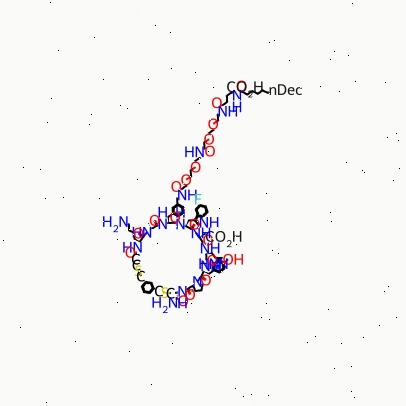 CCCCCCCCCCCCCCCC(=O)N[C@@H](CCC(=O)NCCOCCOCC(=O)NCCOCCOCC(=O)NCc1cccc(C[C@@H]2NC(=O)[C@@H](C)NC(=O)[C@H](CCCCN)NC(=O)CCSCc3cccc(c3)CSC[C@@H](C(N)=O)NC(=O)[C@]3(C)CCCN3C(=O)[C@H](Cc3ccc(O)cc3)NC(=O)[C@H](Cc3cnc[nH]3)NC(=O)[C@H](CC(=O)O)NC(=O)[C@H](Cc3c[nH]c4ccc(F)cc34)NC2=O)c1)C(=O)O